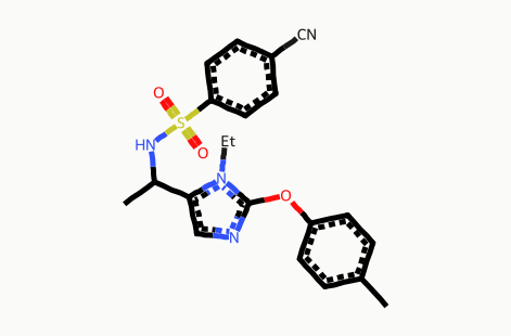 CCn1c(C(C)NS(=O)(=O)c2ccc(C#N)cc2)cnc1Oc1ccc(C)cc1